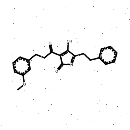 COc1cccc(CCC(=O)C2=C(O)C(CCc3ccccc3)=NC2=O)c1